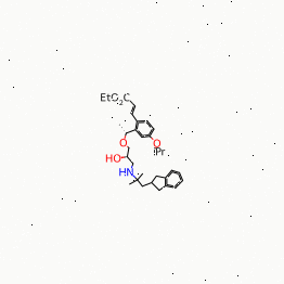 CCOC(=O)/C=C/c1ccc(OC(C)C)cc1[C@@H](C)OC[C@H](O)CNC(C)(C)CC1Cc2ccccc2C1